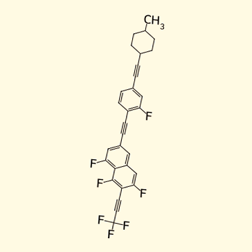 CC1CCC(C#Cc2ccc(C#Cc3cc(F)c4c(F)c(C#CC(F)(F)F)c(F)cc4c3)c(F)c2)CC1